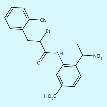 CCC(Cc1ccccc1C#N)C(=O)Nc1cc(C(=O)O)ccc1C(C)[N+](=O)[O-]